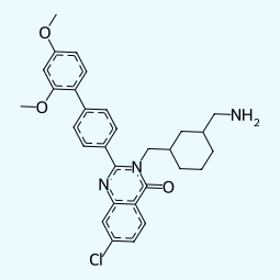 COc1ccc(-c2ccc(-c3nc4cc(Cl)ccc4c(=O)n3CC3CCCC(CN)C3)cc2)c(OC)c1